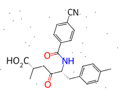 Cc1ccc(C[C@@H](NC(=O)c2ccc(C#N)cc2)C(=O)C[C@H](C)C(=O)O)cc1